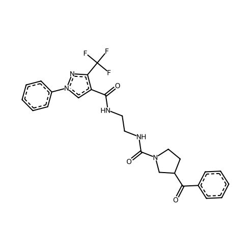 O=C(NCCNC(=O)N1CCC(C(=O)c2ccccc2)C1)c1cn(-c2ccccc2)nc1C(F)(F)F